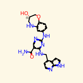 NC(=O)c1cnc(Nc2ccc3c(c2)NC[C@H](O)CO3)nc1NCc1ccnc2[nH]ccc12